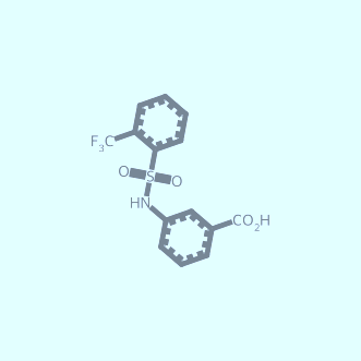 O=C(O)c1cccc(NS(=O)(=O)c2ccccc2C(F)(F)F)c1